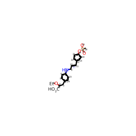 CCO[C@@H](Cc1ccc(NC/C=C/c2ccc(OS(C)(=O)=O)cc2)cc1)C(=O)O